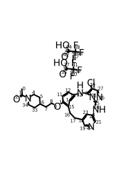 CC(=O)N1CCC(CCOc2ccc3cc2CCc2cncc(c2)Nc2ncc(Cl)c(n2)N3)CC1.O=C(O)C(F)(F)F.O=C(O)C(F)(F)F